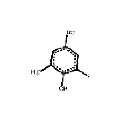 Cc1cc(C(C)(C)C)cc(F)c1O